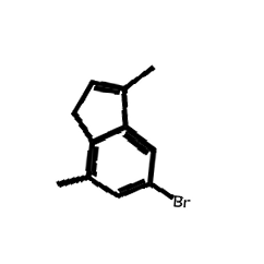 CC1=CCc2c(C)cc(Br)cc21